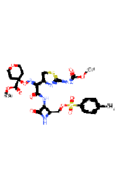 CCCCOC(=O)C1(O/N=C(\C(=O)N[C@@H]2C(=O)N[C@@H]2COS(=O)(=O)c2ccc(C)cc2)C2CSC(NC(=O)OC(C)(C)C)=N2)CCOCC1